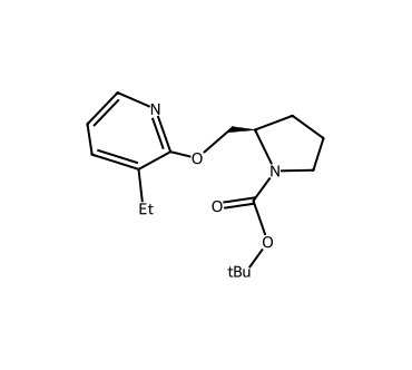 CCc1cccnc1OC[C@H]1CCCN1C(=O)OC(C)(C)C